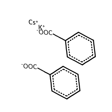 O=C([O-])c1ccccc1.O=C([O-])c1ccccc1.[Cs+].[K+]